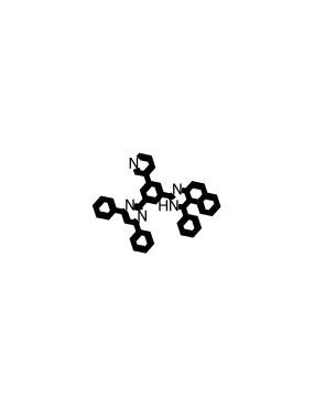 C1=CC2N=C(c3cc(-c4cccnc4)cc(-c4nc(-c5ccccc5)cc(-c5ccccc5)n4)c3)NC(c3ccccc3)C2c2ccccc21